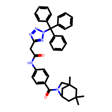 CC1(C)CC2CC(C)(CN2C(=O)c2ccc(NC(=O)Cc3nnn(C(c4ccccc4)(c4ccccc4)c4ccccc4)n3)cc2)C1